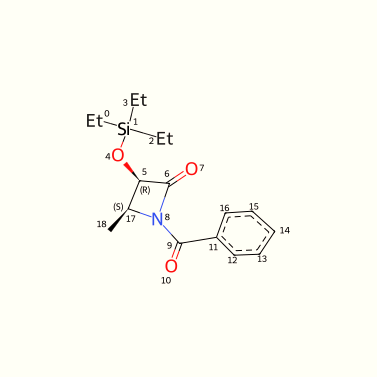 CC[Si](CC)(CC)O[C@H]1C(=O)N(C(=O)c2ccccc2)[C@H]1C